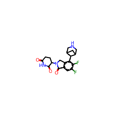 O=C1CCC(N2Cc3c(cc(F)c(F)c3C3C4CNCC3C4)C2=O)C(=O)N1